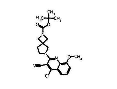 COc1cccc2c(Cl)c(C#N)c(N3CCC4(CN(C(=O)OC(C)(C)C)C4)C3)nc12